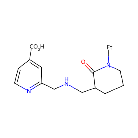 CCN1CCCC(CNCc2cc(C(=O)O)ccn2)C1=O